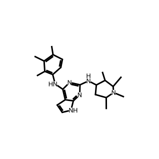 Cc1ccc(Nc2nc(NC3CC(C)N(C)C(C)C3C)nc3[nH]ccc23)c(C)c1C